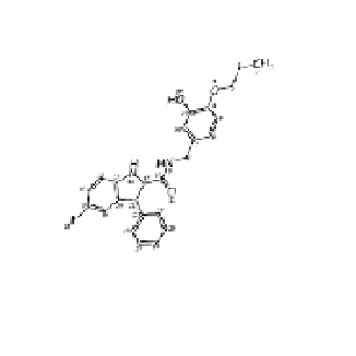 CCCOc1ccc(CNC(=O)C2Nc3ccc(F)cc3C2c2ccccc2)cc1O